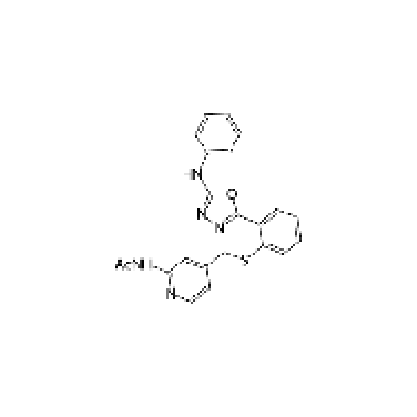 CC(=O)Nc1cc(CSc2ccccc2-c2nnc(Nc3ccccc3)o2)ccn1